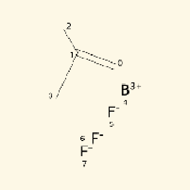 C=C(C)C.[B+3].[F-].[F-].[F-]